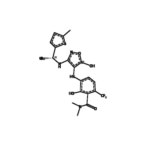 Cc1ccc([C@H](Nc2no[n+](O)c2Nc2ccc(C(F)(F)F)c(C(=O)N(C)C)c2O)C(C)(C)C)s1